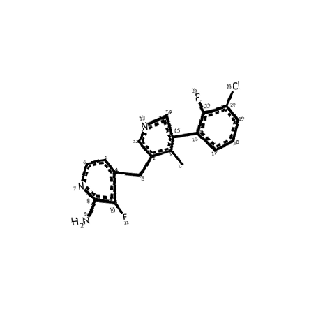 Cc1c(Cc2ccnc(N)c2F)cncc1-c1cccc(Cl)c1F